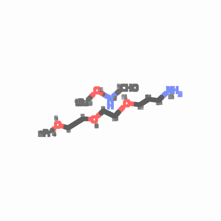 CC(C)(C)ONC=O.CCCOCCOCCOCCCN